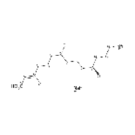 C/C(=C\C(=O)O)CCC[C@H](C)CCC[C@H](C)CCCC(C)C.[NaH]